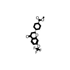 COC(=O)[C@H]1CC[C@H](C2CC(=O)c3ccc(OC(F)(F)F)cc3O2)CC1